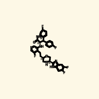 NC(=O)[C@@H](Nc1cncc(F)c1CC[C@@H]1CN[C@H](c2nc3cc(F)c(F)cc3[nH]2)CO1)C(c1ccc(F)cc1)c1ccc(F)cc1